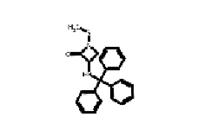 CSN1CC(NC(c2ccccc2)(c2ccccc2)c2ccccc2)C1=O